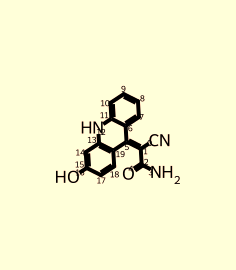 N#C/C(C(N)=O)=C1\c2ccccc2Nc2cc(O)ccc21